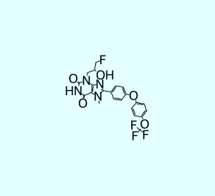 Cn1c(-c2ccc(Oc3ccc(OC(F)(F)F)cc3)cc2)nc2c1c(=O)[nH]c(=O)n2CC(O)CF